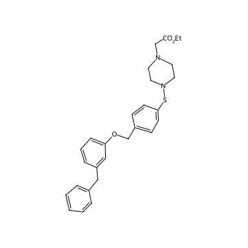 CCOC(=O)CN1CCN(Sc2ccc(COc3cccc(Cc4ccccc4)c3)cc2)CC1